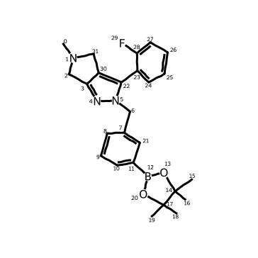 CN1Cc2nn(Cc3cccc(B4OC(C)(C)C(C)(C)O4)c3)c(-c3ccccc3F)c2C1